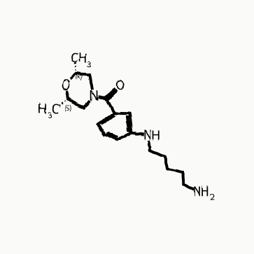 C[C@@H]1CN(C(=O)c2cccc(NCCCCCN)c2)C[C@H](C)O1